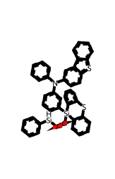 c1ccc(N(c2ccc3c(c2)[Si]2(c4ccccc4Sc4ccccc42)c2ccccc2[SiH]3c2ccccc2)c2ccc3sc4ccccc4c3c2)cc1